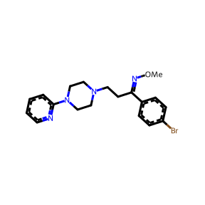 CON=C(CCN1CCN(c2ccccn2)CC1)c1ccc(Br)cc1